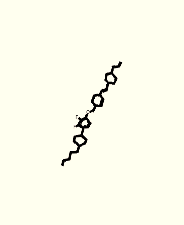 CCCCCC1CCC(c2ccc(OCC3C=CC(/C=C/C4CCC(CCC)CC4)CC3)c(F)c2F)CC1